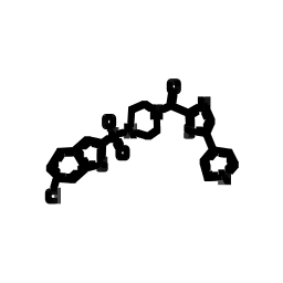 O=C(c1ncc(-c2ccncc2)s1)N1CCN(S(=O)(=O)c2cc3ccc(Cl)cc3s2)CC1